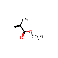 C=C(CCC)C(=O)OC(=O)OCC